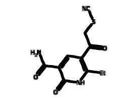 CCc1[nH]c(=O)c(C(N)=O)cc1C(=O)CSC#N